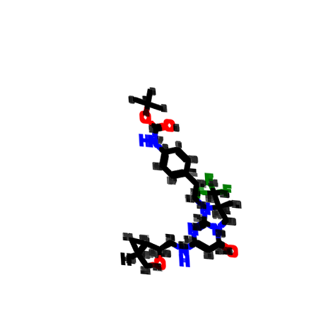 CC(C)(C)OC(=O)Nc1ccc(CCN2c3nc(NC[C@H]4OC[C@@H]5CC54)cc(=O)n3C[C@@]2(C)C(F)(F)F)cc1